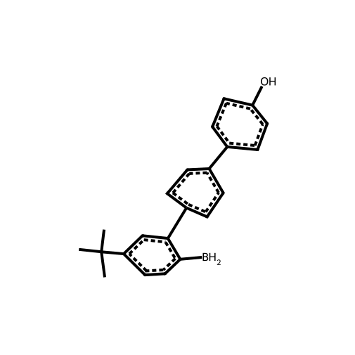 Bc1ccc(C(C)(C)C)cc1-c1ccc(-c2ccc(O)cc2)cc1